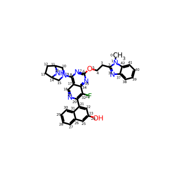 Cn1c(CCOc2nc(N3CC4CCC(C3)N4)c3cnc(-c4cc(O)cc5ccccc45)c(F)c3n2)nc2ccccc21